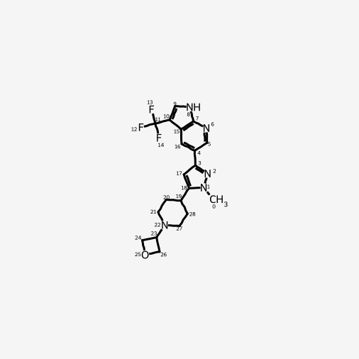 Cn1nc(-c2cnc3[nH]cc(C(F)(F)F)c3c2)cc1C1CCN(C2COC2)CC1